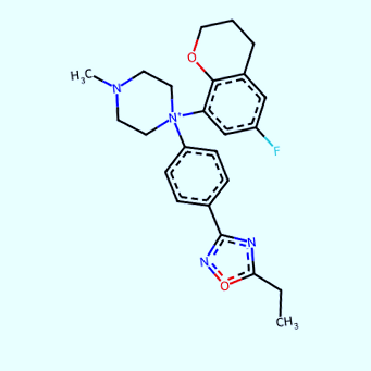 CCc1nc(-c2ccc([N+]3(c4cc(F)cc5c4OCCC5)CCN(C)CC3)cc2)no1